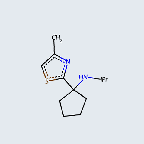 Cc1csc(C2(NC(C)C)CCCC2)n1